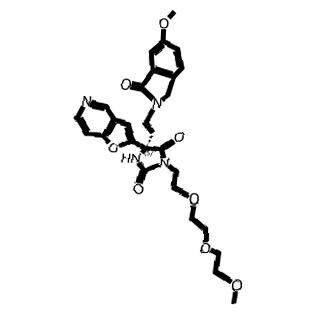 COCCOCCOCCN1C(=O)N[C@@](CCN2Cc3ccc(OC)cc3C2=O)(c2cc3cnccc3o2)C1=O